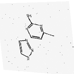 Cc1ccnc(S)n1.c1c[nH]nn1